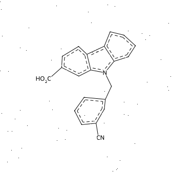 N#Cc1cccc(Cn2c3ccccc3c3ccc(C(=O)O)cc32)c1